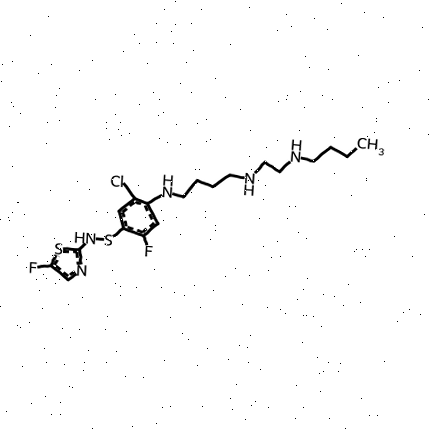 CCCCNCCNCCCCNc1cc(F)c(SNc2ncc(F)s2)cc1Cl